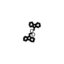 O=C([CH]C1c2ccccc2-c2ccccc21)OCC1c2ccccc2-c2ccccc21